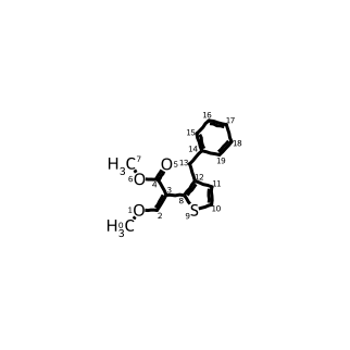 COC=C(C(=O)OC)c1sccc1Cc1ccccc1